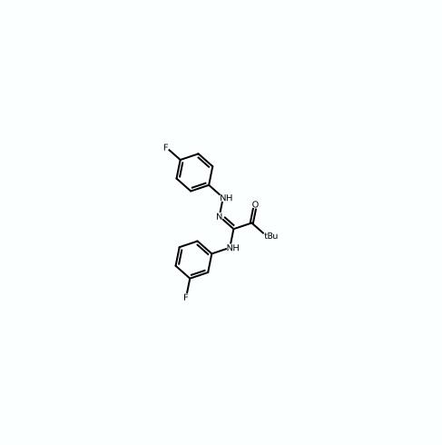 CC(C)(C)C(=O)/C(=N\Nc1ccc(F)cc1)Nc1cccc(F)c1